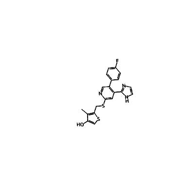 Cc1c(O)csc1CSc1cc(-c2ncc[nH]2)c(-c2ccc(F)cc2)cn1